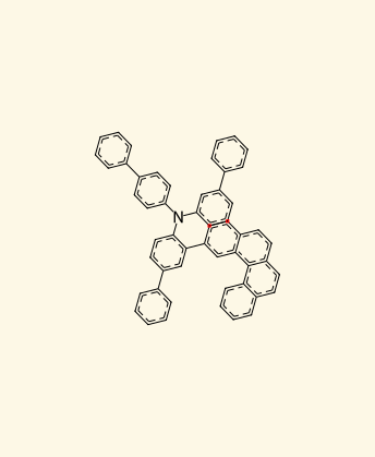 c1ccc(-c2ccc(N(c3cccc(-c4ccccc4)c3)c3ccc(-c4ccccc4)cc3-c3ccc4ccc5ccc6ccccc6c5c4c3)cc2)cc1